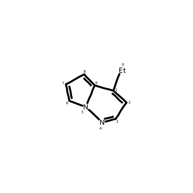 CCc1ccnn2cccc12